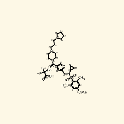 COc1cc(C)c(S(=O)(=O)N(Cc2cc(C(=O)N3CCN(CCCN4CCCC4)CC3)co2)C2CC2)c(C)c1.O=C(O)C(F)(F)F